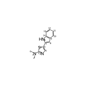 CN(C)c1ncc(-c2cc3[c]cccc3[nH]2)s1